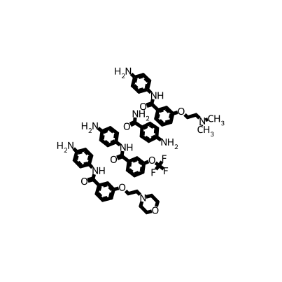 CN(C)CCOc1cccc(C(=O)Nc2ccc(N)cc2)c1.NC(=O)c1ccc(N)cc1.Nc1ccc(NC(=O)c2cccc(OC(F)(F)F)c2)cc1.Nc1ccc(NC(=O)c2cccc(OCCN3CCOCC3)c2)cc1